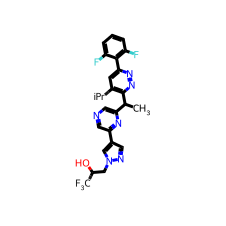 CC(C)c1cc(-c2c(F)cccc2F)nnc1C(C)c1cncc(-c2cnn(CC(O)C(F)(F)F)c2)n1